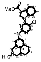 COC(=O)C1CN(c2nc(Nc3cc4c5c(c3)CN(C)CC5CCC4)ncc2Cl)c2ccccc21